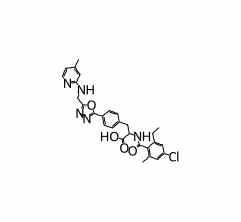 CCc1cc(Cl)cc(C)c1C(=O)NC(Cc1ccc(-c2nnc(CNc3cc(C)ccn3)o2)cc1)C(=O)O